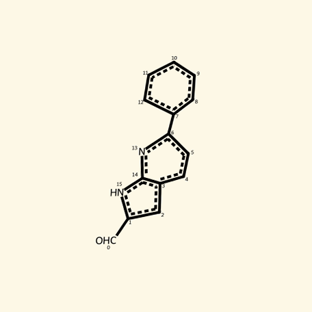 O=Cc1cc2ccc(-c3ccccc3)nc2[nH]1